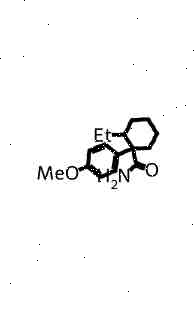 CCC1CCCCC1(C(N)=O)c1ccc(OC)cc1